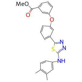 COC(=O)c1cccc(Oc2cccc(-c3nnc(Nc4ccc(C)c(C)c4)s3)c2)c1